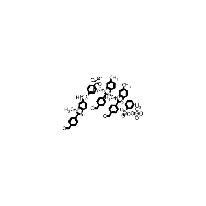 CS(=O)(=O)[O-].Cc1ccc(S(=O)(=O)[O-])cc1.Cc1ccc2sc(-c3ccc(C=O)cc3)[n+](C)c2c1.Cc1ccc2sc(-c3ccc(C=O)cc3)[n+](C)c2c1.Cc1ccc2sc(-c3ccc(C=O)cc3)[n+](C)c2c1.O=S(=O)([O-])c1ccccc1